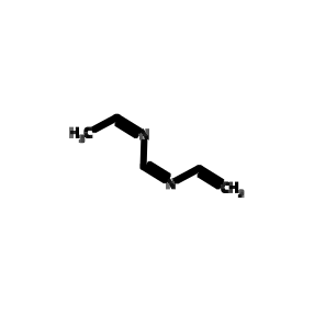 C=C/N=C\N=C/C